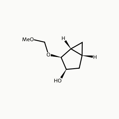 COCO[C@H]1[C@@H]2C[C@@H]2C[C@H]1O